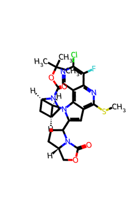 CSc1nc2c(F)c(Cl)ncc2c2c1cc(C1CC[C@H]3COC(=O)N13)n2[C@H]1[C@@H]2C[C@H]1N(C(=O)OC(C)(C)C)C2